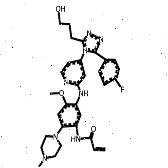 C=CC(=O)Nc1cc(Nc2cc(-n3c(CCCO)nnc3-c3ccc(F)cc3)ccn2)c(OC)cc1N1CCN(C)CC1